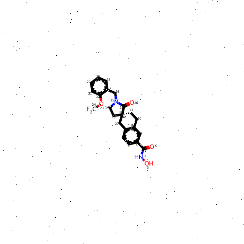 O=C(NO)c1ccc2c(c1)CC[C@@]1(CCN(Cc3ccccc3OC(F)(F)F)C1=O)C2